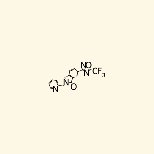 O=C1c2cc(-c3noc(C(F)(F)F)n3)ccc2CN1Cc1ccccn1